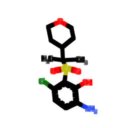 CC(C)(C1CCOCC1)S(=O)(=O)c1c(Cl)ccc(N)c1O